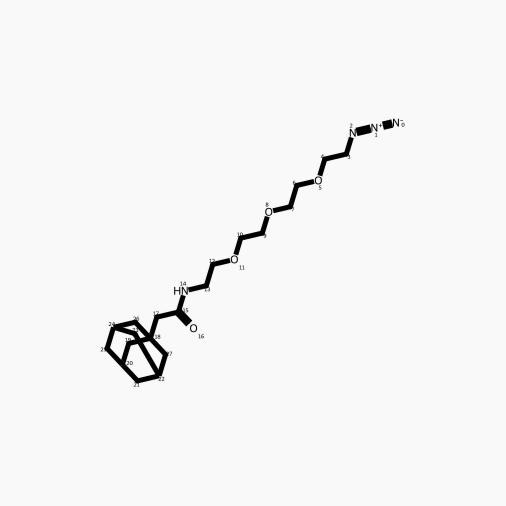 [N-]=[N+]=NCCOCCOCCOCCNC(=O)CC12CC3CC(CC(C3)C1)C2